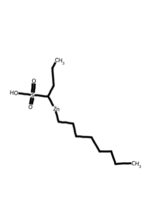 CCCCCCC[CH2][Zn][CH](CCC)S(=O)(=O)O